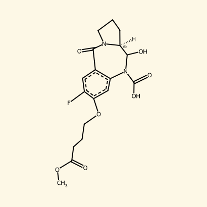 COC(=O)CCCOc1cc2c(cc1F)C(=O)N1CCC[C@H]1C(O)N2C(=O)O